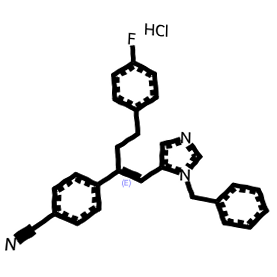 Cl.N#Cc1ccc(/C(=C/c2cncn2Cc2ccccc2)CCc2ccc(F)cc2)cc1